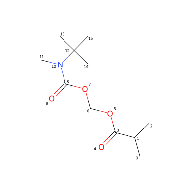 CC(C)C(=O)OCOC(=O)N(C)C(C)(C)C